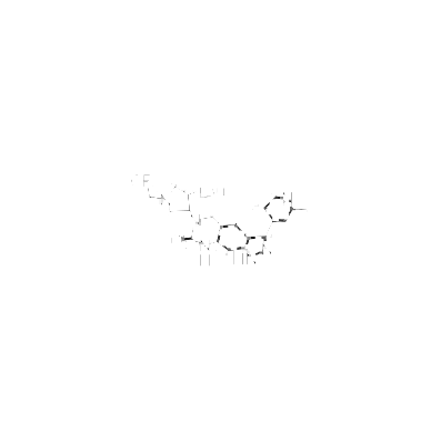 Cc1cc(-c2n[nH]c3cc4c(cc23)CN(C2CN(CC(F)(F)F)CC2C(C)(C)C)C(=O)N4)ccn1